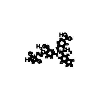 COc1cc(CN(C[C@H]2CC[C@H](C(=O)O)CC2)C(C)c2ccc3c(c2)CCC3)ccc1OCCN1C(=O)CNC1=O